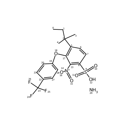 CCC(C)(C)c1ccc(S(=O)(=O)O)c([N+](=O)[O-])c1Oc1ccc(C(F)(F)F)cc1.N